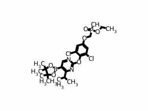 CCOP(C)(=O)COc1cc(Cl)c(Oc2ncc(B3OC(C)(C)C(C)(C)O3)c(C(C)C)n2)c(Cl)c1